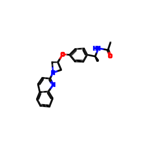 CC(=O)N[C@@H](C)c1ccc(OC2CN(c3ccc4ccccc4n3)C2)cc1